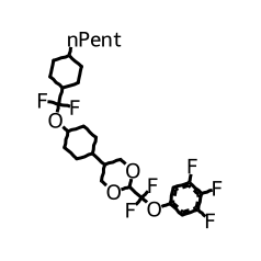 CCCCCC1CCC(C(F)(F)OC2CCC(C3COC(C(F)(F)Oc4cc(F)c(F)c(F)c4)OC3)CC2)CC1